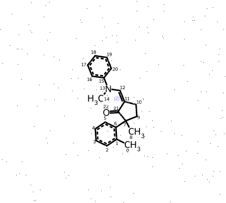 Cc1ccccc1C1(C)CC/C(=C/N(C)c2ccccc2)C1=O